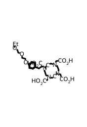 CCOCCOCCOc1ccc(C[C@H](C(=O)O)N2CCN(CC(=O)O)CCN(CC(=O)O)CCN(CC(=O)O)CC2)cc1